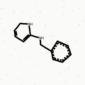 [C]1=CCNC(NCc2ccccc2)=C1